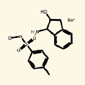 Cc1ccc(S(=O)(=O)[N-]Cl)cc1.NC1c2ccccc2CC1O.[Na+]